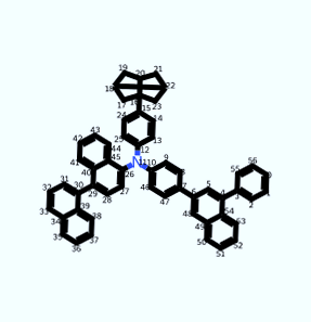 c1ccc(-c2cc(-c3ccc(N(c4ccc(C56CC7CC5CC7C6)cc4)c4ccc(-c5cccc6ccccc56)c5ccccc45)cc3)cc3ccccc23)cc1